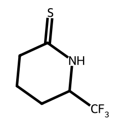 FC(F)(F)C1CCCC(=S)N1